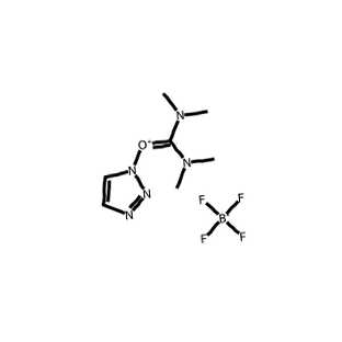 CN(C)C(=[O+]n1ccnn1)N(C)C.F[B-](F)(F)F